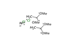 COC(C)OC.COC(C)OC.[Cl-].[Cl-].[Ni+2]